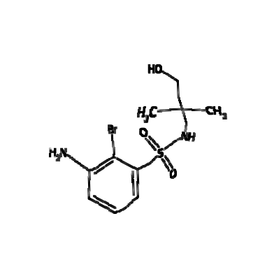 CC(C)(CO)NS(=O)(=O)c1cccc(N)c1Br